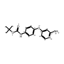 CC(C)(C)OC(=O)Nc1ccc(Oc2ccnc(N)c2)cc1